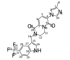 Cc1cn(-c2ccc3n(c2=O)CCN(Cc2c[nH]c4ccc(C(F)(F)F)cc24)C3=O)cn1